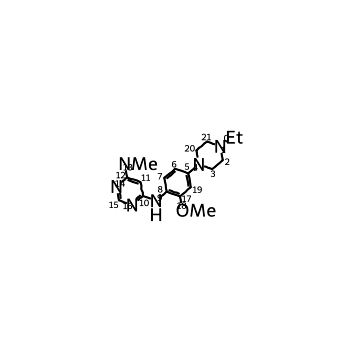 CCN1CCN(c2ccc(Nc3cc(NC)ncn3)c(OC)c2)CC1